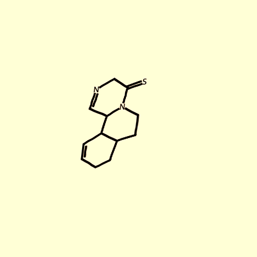 S=C1CN=CC2C3C=CCCC3CCN12